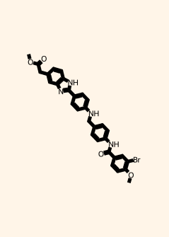 COC(=O)Cc1ccc2[nH]c(-c3ccc(NCc4ccc(NC(=O)c5ccc(OC)c(Br)c5)cc4)cc3)nc2c1